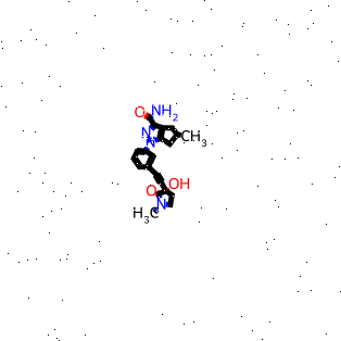 CC1Cc2c(C(N)=O)nn(-c3cccc(C#C[C@]4(O)CCN(C)C4=O)c3)c2C1